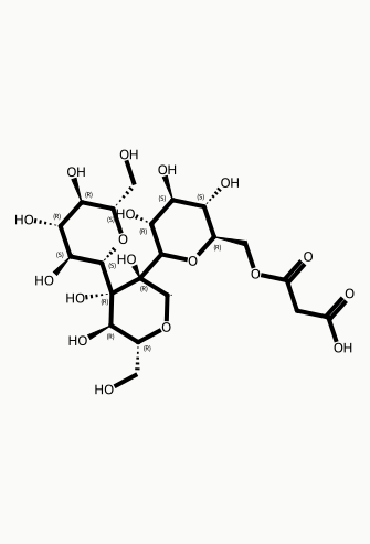 O=C(O)CC(=O)OC[C@H]1OC([C@]2(O)[CH]O[C@H](CO)[C@@H](O)[C@@]2(O)[C@H]2O[C@@H](CO)[C@H](O)[C@@H](O)[C@@H]2O)[C@H](O)[C@@H](O)[C@@H]1O